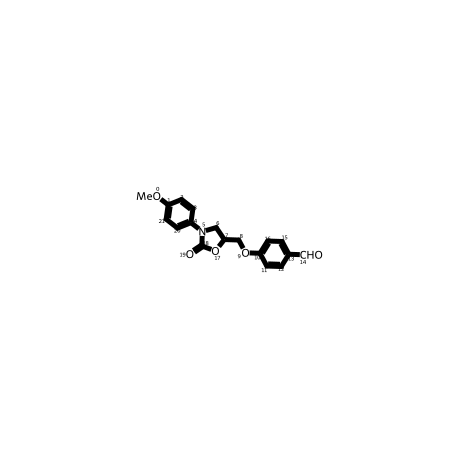 COc1ccc(N2CC(COc3ccc(C=O)cc3)OC2=O)cc1